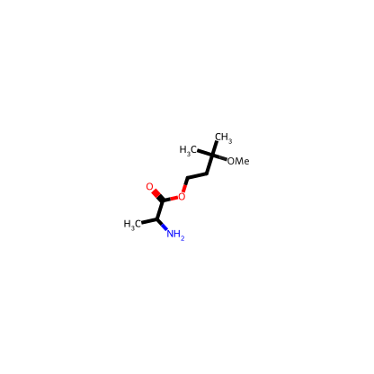 COC(C)(C)CCOC(=O)C(C)N